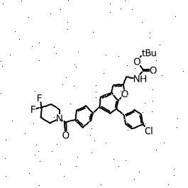 CC(C)(C)OC(=O)NCc1cc2cc(-c3ccc(C(=O)N4CCC(F)(F)CC4)cc3)cc(-c3ccc(Cl)cc3)c2o1